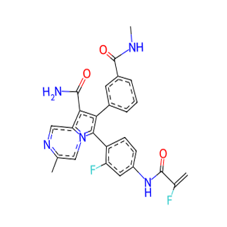 C=C(F)C(=O)Nc1ccc(-c2c(-c3cccc(C(=O)NC)c3)c(C(N)=O)c3cnc(C)cn23)c(F)c1